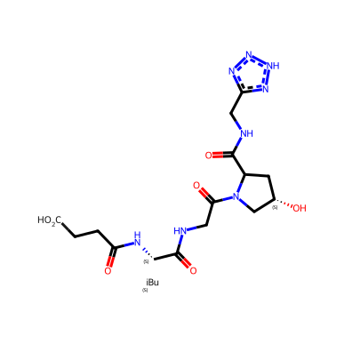 CC[C@H](C)[C@H](NC(=O)CCC(=O)O)C(=O)NCC(=O)N1C[C@@H](O)CC1C(=O)NCc1nn[nH]n1